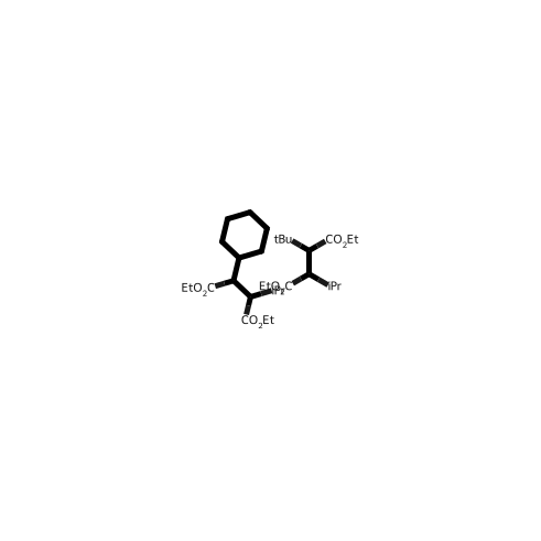 CCOC(=O)C(C(C)C)C(C(=O)OCC)C(C)(C)C.CCOC(=O)C(C(C)C)C(C(=O)OCC)C1CCCCC1